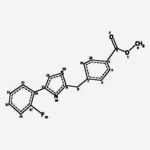 COC(=O)c1ccc(Cc2nc(-c3ccccc3F)cs2)cc1